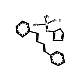 C(C=Cc1ccccc1)=Cc1ccccc1.CCCP(CCC)(CCC)=NC1=CC=CC1.[Ti]